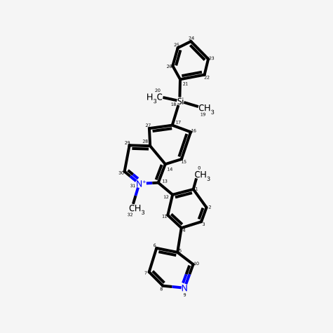 Cc1ccc(-c2cccnc2)cc1-c1c2ccc([Si](C)(C)c3ccccc3)cc2cc[n+]1C